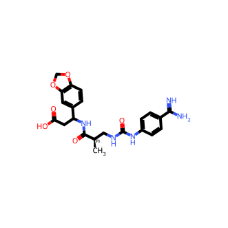 C[C@H](CNC(=O)Nc1ccc(C(=N)N)cc1)C(=O)NC(CC(=O)O)c1ccc2c(c1)OCO2